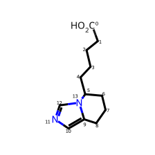 O=C(O)CCCCC1CCCc2cncn21